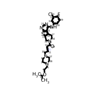 CC(C)OCCN1CCN(C/C=C/C(=O)N2CCc3c(sc4ncnc(Nc5ccc(F)c(Cl)c5)c34)C2)CC1